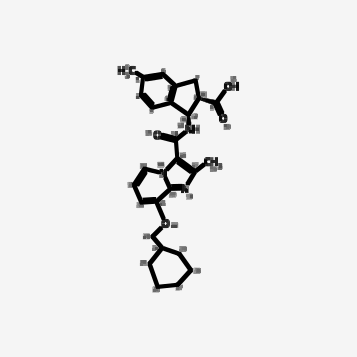 Cc1ccc2c(c1)C[C@@H](C(=O)O)[C@H]2NC(=O)c1c(C)nc2c(OCC3CCCCC3)cccn12